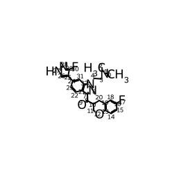 CN(C)CCn1nc(C(=O)C2COc3ccc(F)cc3C2)c2ccc(-c3c[nH]nc3F)cc21